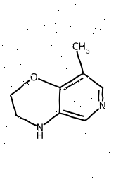 Cc1cncc2c1OCCN2